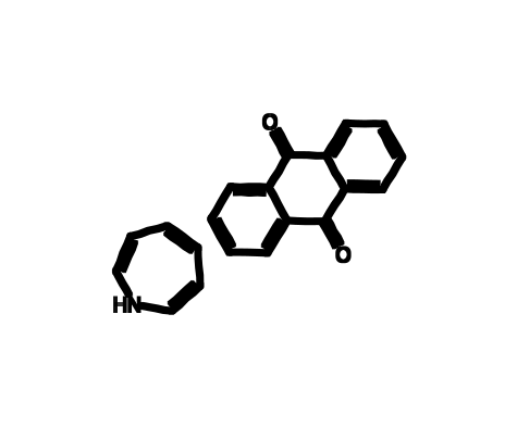 C1=CC=CNC=C1.O=C1c2ccccc2C(=O)c2ccccc21